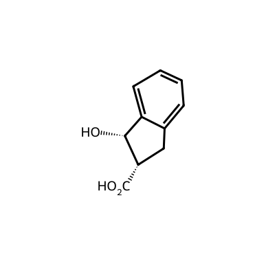 O=C(O)[C@H]1Cc2ccccc2[C@H]1O